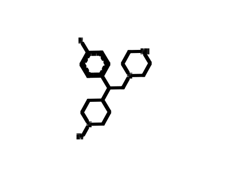 CC(C)N1CCC(C(CN2CCNCC2)c2ccc(F)cc2)CC1